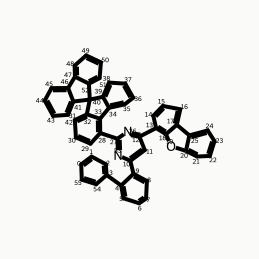 c1ccc(-c2ccccc2-c2cc(-c3cccc4c3oc3ccccc34)nc(-c3cccc4c3-c3ccccc3C43c4ccccc4-c4ccccc43)n2)cc1